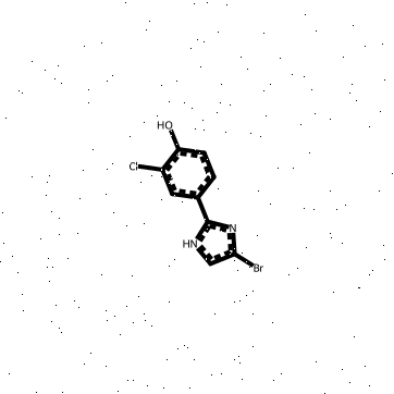 Oc1ccc(-c2nc(Br)c[nH]2)cc1Cl